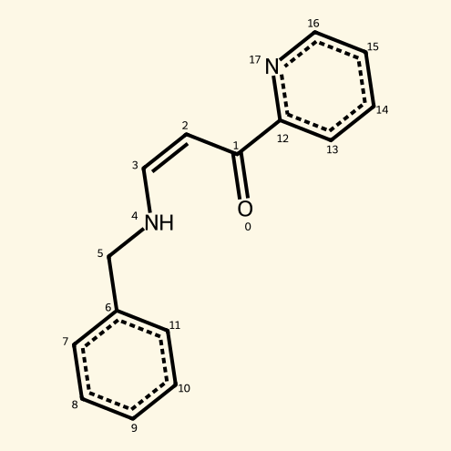 O=C(/C=C\NCc1ccccc1)c1ccccn1